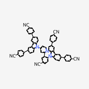 N#Cc1ccc(-c2ccc3c(c2)c2cc(-c4ccc(C#N)cc4)ccc2n3-c2ccnc(-c3cc(C#N)ccc3-n3c4ccc(-c5ccc(C#N)cc5)cc4c4cc(-c5ccc(C#N)cc5)ccc43)c2)cc1